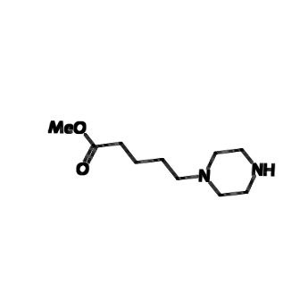 COC(=O)CCCCN1CCNCC1